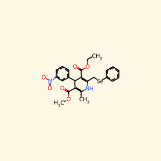 CCOC(=O)C1=C(C[Se]c2ccccc2)NC(C)=C(C(=O)OC)C1c1cccc([N+](=O)[O-])c1